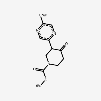 COc1cnc(C2CN(C(=O)OC(C)(C)C)CCC2=O)cn1